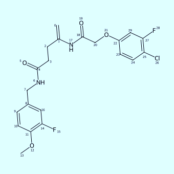 C=C(CCC(=O)NCc1ccc(OC)c(F)c1)NC(=O)COc1ccc(Cl)c(F)c1